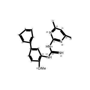 COc1ccc(-c2ccccc2)cc1NC(=N)Nc1nc(C)cc(C)n1